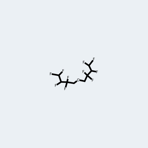 FC(F)C(F)C(F)(F)COCC(F)(F)C(F)C(F)F